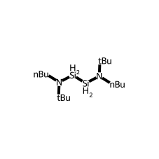 CCCCN([SiH2][SiH2]N(CCCC)C(C)(C)C)C(C)(C)C